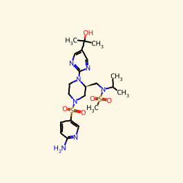 CC(C)N(C[C@H]1CN(S(=O)(=O)c2ccc(N)nc2)CCN1c1ncc(C(C)(C)O)cn1)S(C)(=O)=O